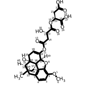 COc1ccc2c3c1O[C@@H]1C(OC(=O)C[C@H](O)C(=O)O[C@@H](CC(=O)O)C(=O)O)=CC[C@]4(O)[C@H](C2)N(C)CC[C@@]314